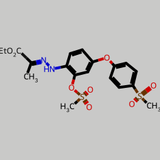 CCOC(=O)C(C)=NNc1ccc(Oc2ccc(S(C)(=O)=O)cc2)cc1OS(C)(=O)=O